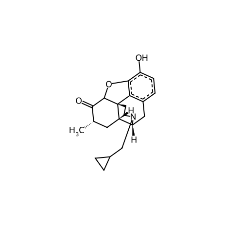 C[C@H]1C[C@H]2[C@H]3Cc4ccc(O)c5c4[C@@]2(CCN3CC2CC2)C(O5)C1=O